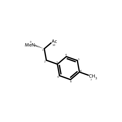 CN[C@@H](Cc1ccc(C)cc1)C(C)=O